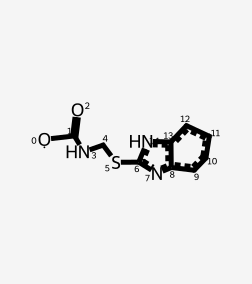 [O]C(=O)NCSc1nc2ccccc2[nH]1